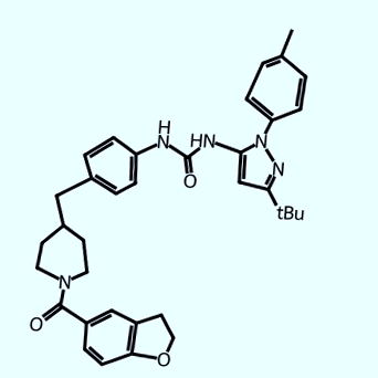 Cc1ccc(-n2nc(C(C)(C)C)cc2NC(=O)Nc2ccc(CC3CCN(C(=O)c4ccc5c(c4)CCO5)CC3)cc2)cc1